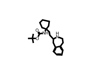 CC(C)(C)OC(=O)NC1(CCC2Cc3ccccc3CCN2)CCCCC1